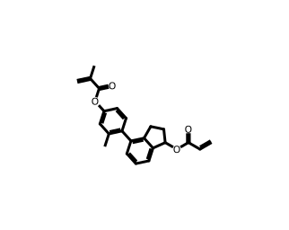 C=CC(=O)OC1CCc2c(-c3ccc(OC(=O)C(=C)C)cc3C)cccc21